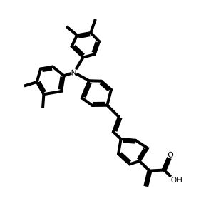 C=C(C(=O)O)c1ccc(C=Cc2ccc(N(c3ccc(C)c(C)c3)c3ccc(C)c(C)c3)cc2)cc1